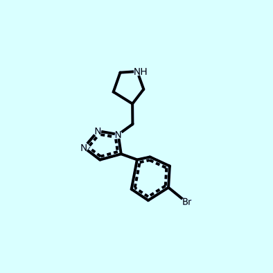 Brc1ccc(-c2cnnn2CC2CCNC2)cc1